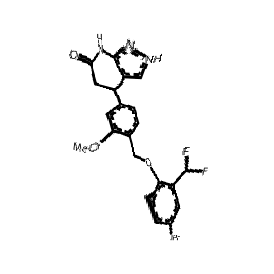 COc1cc(C2CC(=O)Nc3n[nH]cc32)ccc1COc1ccc(C(C)C)cc1C(F)F